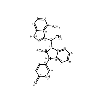 Cc1cccc2[nH]cc(C(C)n3c(=O)n(-c4ccc(=O)[nH]c4)c4ccccc43)c12